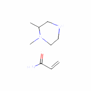 C=CC(N)=O.CC1CNCCN1C